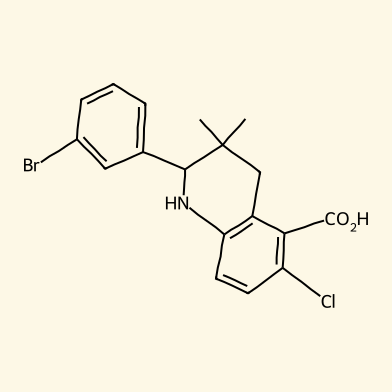 CC1(C)Cc2c(ccc(Cl)c2C(=O)O)NC1c1cccc(Br)c1